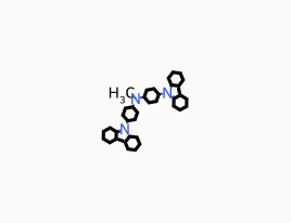 CN(c1ccc(-n2c3ccccc3c3ccccc32)cc1)c1ccc(-n2c3ccccc3c3ccccc32)cc1